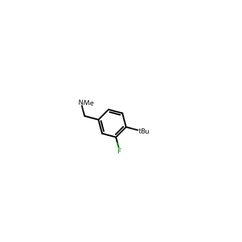 CNCc1ccc(C(C)(C)C)c(F)c1